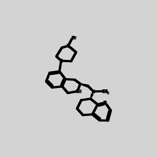 CC(C)N1CCN(c2cccc3c2C[C@@H](CN(C)[C@H]2CCCc4cccnc42)NC3)CC1